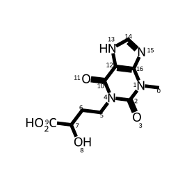 Cn1c(=O)n(CCC(O)C(=O)O)c(=O)c2[nH]cnc21